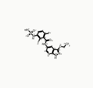 CCCS(=O)(=O)Nc1ccc(F)c(C(=O)Nc2cnc3[nH]nc(OCC(F)(F)F)c3c2)c1F